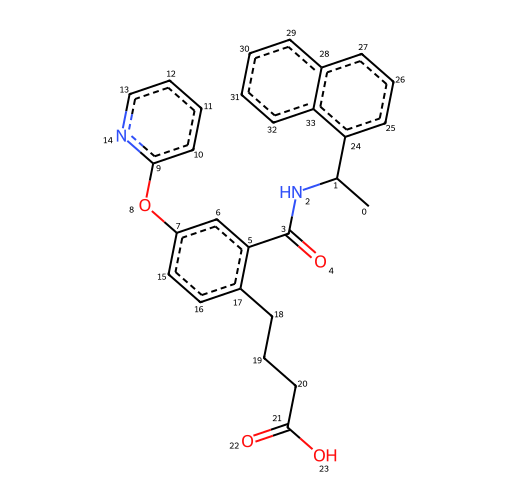 CC(NC(=O)c1cc(Oc2ccccn2)ccc1CCCC(=O)O)c1cccc2ccccc12